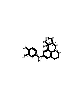 Clc1ccc(Nc2cc3c4c(c2)[C@@H]2CNC[C@H]2CN4CCC3)cc1Cl